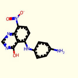 Nc1ccc(Nc2ccc([N+](=O)[O-])c3ncnc(O)c23)cc1